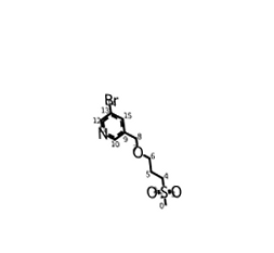 CS(=O)(=O)CCCOCc1cncc(Br)c1